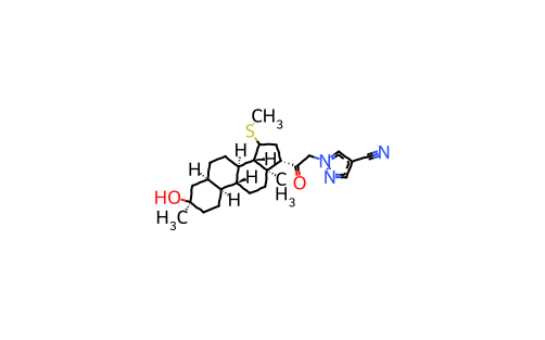 CSC1C[C@H](C(=O)Cn2cc(C#N)cn2)[C@@]2(C)CC[C@H]3[C@@H](CC[C@@H]4C[C@](C)(O)CC[C@@H]43)[C@H]12